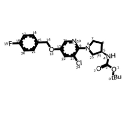 CC(C)(C)OC(=O)N[C@@H]1CCN(c2ncc(OCc3ccc(F)cc3)cc2Cl)C1